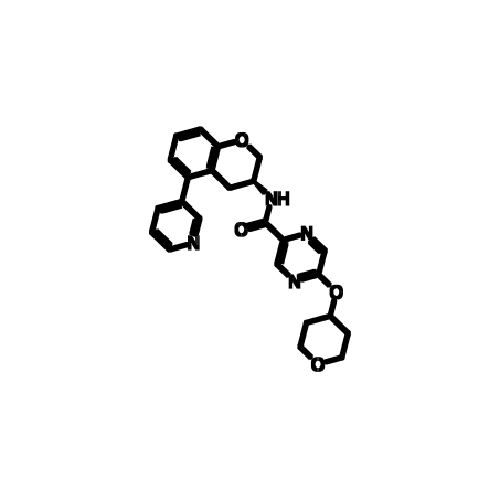 O=C(N[C@@H]1COc2cccc(-c3cccnc3)c2C1)c1cnc(OC2CCOCC2)cn1